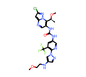 COCCNc1cnn(-c2ncc(NC(=O)Nc3cnc4cc(Cl)nn4c3[C@H](C)OC)cc2C(F)(F)F)c1